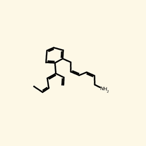 C=C/C(=C\C=C/C)c1ccccc1C/C=C\C=C/CN